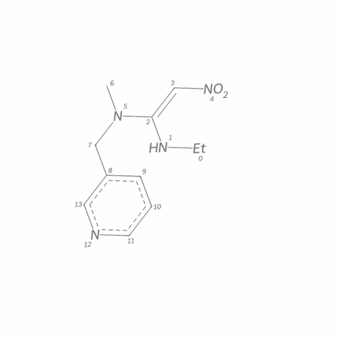 CCNC(=C[N+](=O)[O-])N(C)Cc1cccnc1